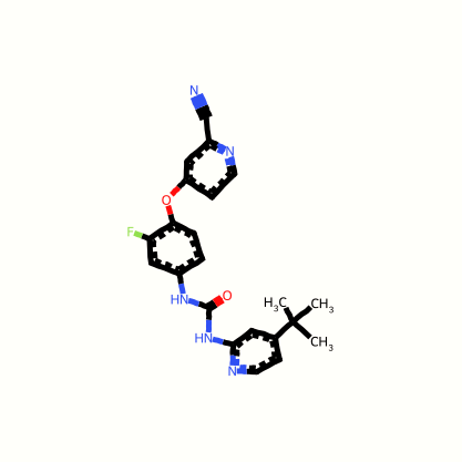 CC(C)(C)c1ccnc(NC(=O)Nc2ccc(Oc3ccnc(C#N)c3)c(F)c2)c1